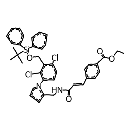 CCOC(=O)c1ccc(/C=C/C(=O)NCc2cccn2-c2ccc(Cl)c(CO[Si](c3ccccc3)(c3ccccc3)C(C)(C)C)c2Cl)cc1